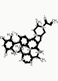 C=CC(=O)N1CC2Cc3c(c4cc(F)c(-c5c(N)c(Cl)cc(Cl)c5F)c(Cl)c4n(-c4c(C(C)C)ncnc4C(C)C)c3=O)N2CC1C